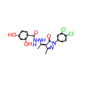 CC1=NN(c2ccc(Cl)c(Cl)c2)C(=O)/C1=C(/C)NNC(=O)c1ccc(O)cc1O